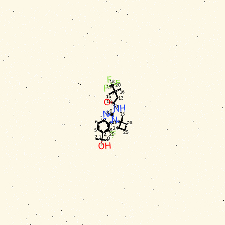 CC(C)(O)c1ccc2nc(NC(=O)CC(C)(C)C(F)(F)F)n(C3(C)CCC3)c2c1F